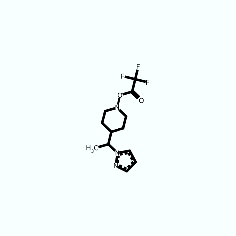 CC(C1CCN(OC(=O)C(F)(F)F)CC1)n1cccn1